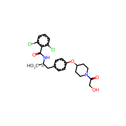 O=C(N[C@@H](Cc1ccc(OC2CCN(C(=O)CO)CC2)cc1)C(=O)O)c1c(Cl)cccc1Cl